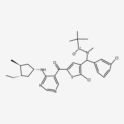 CC[C@H]1C[C@@H](Nc2ncncc2C(=O)c2cc(C(c3cccc(Cl)c3)N(C)[S+]([O-])C(C)(C)C)c(Cl)s2)C[C@@H]1C